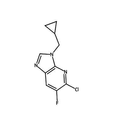 Fc1cc2ncn(CC3CC3)c2nc1Cl